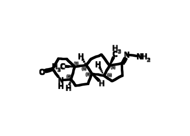 C[C@]12CCC(=O)N[C@@H]1CC[C@@H]1[C@@H]2CC[C@]2(C)C(=NN)CC[C@@H]12